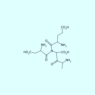 CC(N)C(=O)C(C(=O)O)N(C(=O)C(N)CCC(=O)O)C(=O)C(N)CC(=O)O